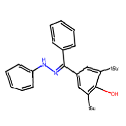 CC(C)(C)c1cc(C(=NNc2ccccc2)c2ccccc2)cc(C(C)(C)C)c1O